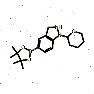 CC1(C)OB(c2ccc3c(c2)CNN3C2CCCCO2)OC1(C)C